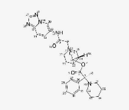 C[C@@](C(=O)O[C@H]1C[N+]2(CC(=O)Nc3ccc4ncnn4c3)CCC1CC2)(c1ccccc1)N1CCCCC1